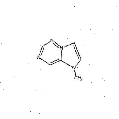 Cn1cc[n+]2ncncc12